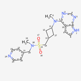 CN(c1ncnc2[nH]ccc12)C1CC(CS(=O)(=O)N(C)Cc2ccncc2)C1